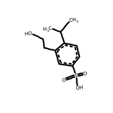 CC(C)c1ccc(S(=O)(=O)O)cc1CCO